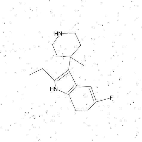 CCc1[nH]c2ccc(F)cc2c1C1(C)CCNCC1